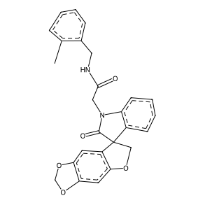 Cc1ccccc1CNC(=O)CN1C(=O)C2(COc3cc4c(cc32)OCO4)c2ccccc21